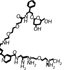 C=CN(N)CCOCCN(N)/C=C(\N)CNC(=O)c1ccnc(-c2cc(C(=O)NCCOCCOCCC(=O)NCC(COC3CC(O)CC(CO)O3)c3ccccc3)ccn2)c1